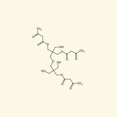 CC(=O)CC(=O)OCC(CO)(CO)COCC(CO)(COC(=O)CC(C)=O)COC(=O)CC(C)=O